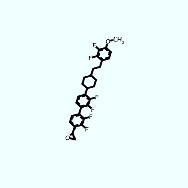 COc1ccc(CCC2CCC(c3ccc(-c4ccc(C5CO5)c(F)c4F)c(F)c3F)CC2)c(F)c1F